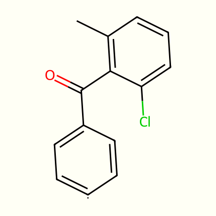 Cc1cccc(Cl)c1C(=O)c1cc[c]cc1